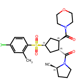 Cc1cc(Cl)ccc1S(=O)(=O)[C@H]1C[C@@H](C(=O)N2CCOCC2)[C@H](C(=O)N2CCC[C@H]2C#N)C1